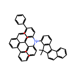 CC1(C)c2ccc3ccccc3c2-c2cccc(N(c3ccc(-c4ccccc4)cc3)c3ccccc3-c3cccc4cccc(-c5ccccc5)c34)c21